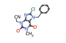 Cn1c(=O)c2c(nc(Cl)n2Cc2ccccc2)n(CC#N)c1=O